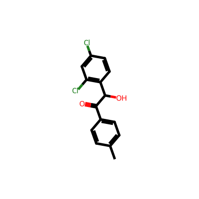 Cc1ccc(C(=O)C(O)c2ccc(Cl)cc2Cl)cc1